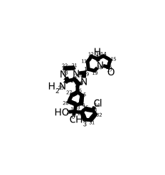 CC(O)(c1ccc(-c2nc([C@@H]3CC[C@H]4CCC(=O)N4C3)n3ccnc(N)c23)cc1)c1cccc(Cl)c1